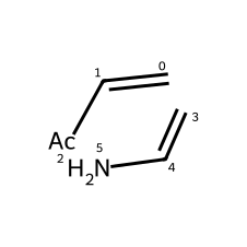 C=CC(C)=O.C=CN